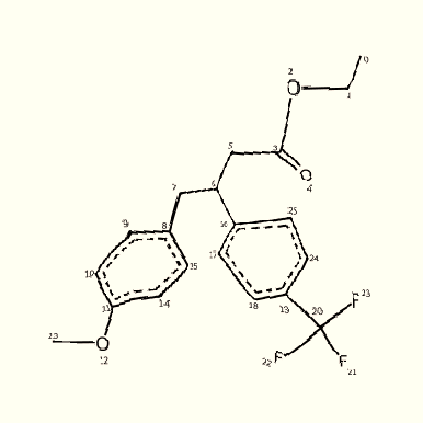 CCOC(=O)CC(Cc1ccc(OC)cc1)c1ccc(C(F)(F)F)cc1